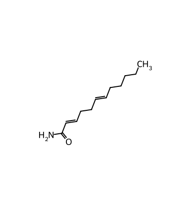 CCCCC/C=C/CC/C=C/C(N)=O